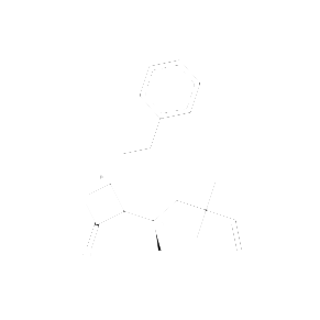 C=CC(C)(C)C[C@@H](C)C1C(=O)O[C@@H]1CCc1ccccc1